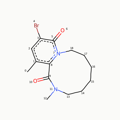 Cc1cc(Br)c(=O)n2c1C(=O)N(C)CCCCCC2